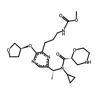 COC(=O)NCCCc1nc([C@@H](C)N(C(=O)[C@H]2CNCCO2)C2CC2)cnc1O[C@H]1CCOC1